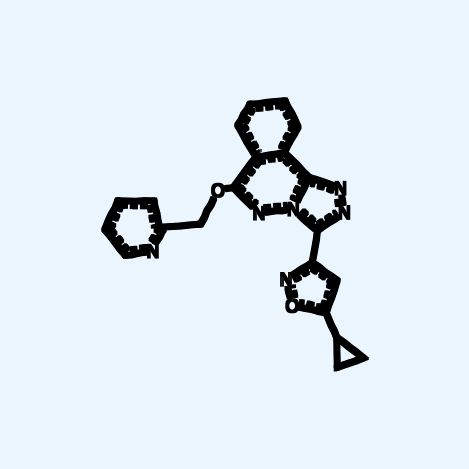 c1ccc(COc2nn3c(-c4cc(C5CC5)on4)nnc3c3ccccc23)nc1